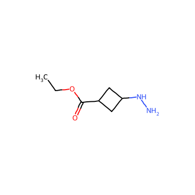 CCOC(=O)C1CC(NN)C1